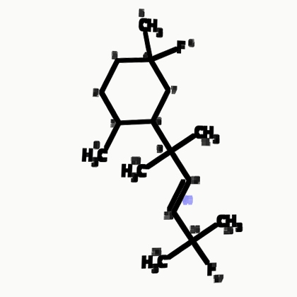 CC1CCC(C)(F)CC1C(C)(C)/C=C/C(C)(C)F